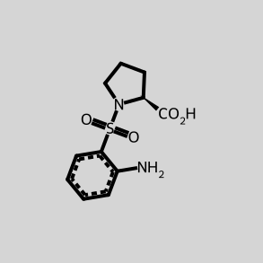 Nc1ccccc1S(=O)(=O)N1CCC[C@H]1C(=O)O